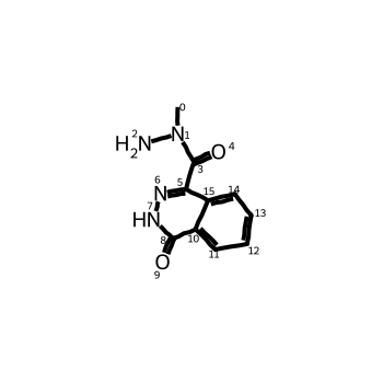 CN(N)C(=O)c1n[nH]c(=O)c2ccccc12